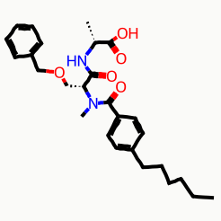 CCCCCCc1ccc(C(=O)N(C)[C@H](COCc2ccccc2)C(=O)N[C@H](C)C(=O)O)cc1